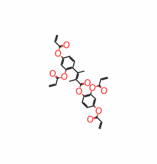 C=CC(=O)Oc1ccc(OC(=O)/C(C)=C(\C)c2ccc(OC(=O)C=C)cc2OC(=O)C=C)c(OC(=O)C=C)c1